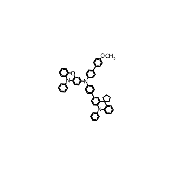 COc1ccc(-c2ccc(N(c3ccc(-c4ccc5c(c4)C4(CCCC4)c4ccccc4N5c4ccccc4)cc3)c3ccc4c(c3)Oc3ccccc3N4c3ccccc3)cc2)cc1